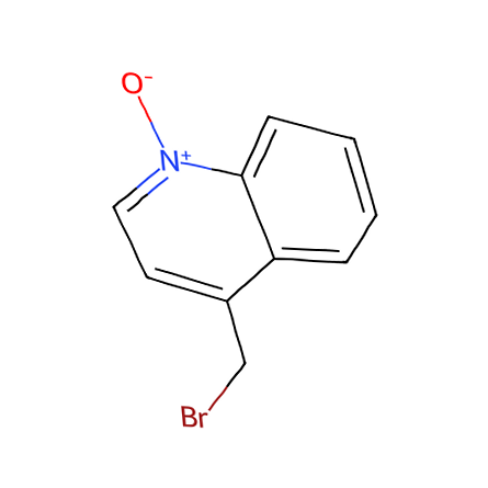 [O-][n+]1ccc(CBr)c2ccccc21